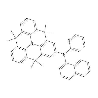 CC1(C)c2cccc3c2N2c4c1cccc4C(C)(C)c1cc(N(c4ccccn4)c4cccc5ccccc45)cc(c12)C3(C)C